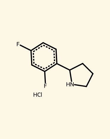 Cl.Fc1ccc(C2CCCN2)c(F)c1